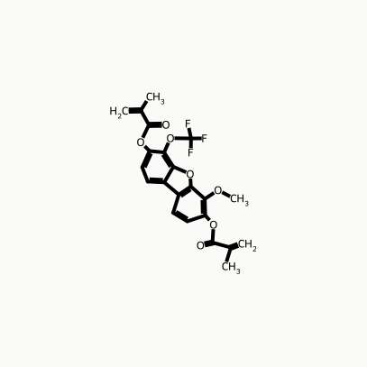 C=C(C)C(=O)Oc1ccc2c(oc3c(OC(F)(F)F)c(OC(=O)C(=C)C)ccc32)c1OC